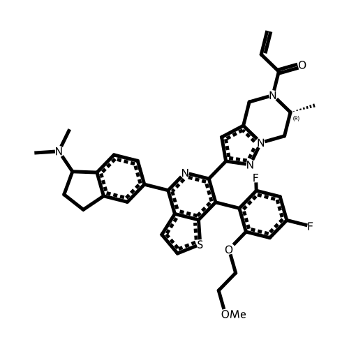 C=CC(=O)N1Cc2cc(-c3nc(-c4ccc5c(c4)CCC5N(C)C)c4ccsc4c3-c3c(F)cc(F)cc3OCCOC)nn2C[C@H]1C